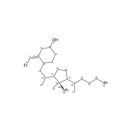 CC/C=C1/CC(O)CCC1CC(C)C1CCC(C(C)CCCC(C)C)[C@@]1(C)CCC